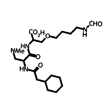 CNCC(NC(=O)CC1CCCCC1)C(=O)NC(COCCCCNC=O)C(=O)O